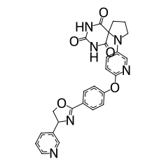 O=C1NC(=O)C2(CCCN2c2ccc(Oc3ccc(C4=NC(c5cccnc5)CO4)cc3)nc2)C(=O)N1